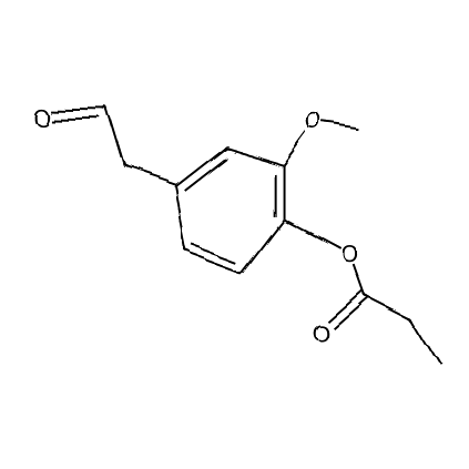 CCC(=O)Oc1ccc(CC=O)cc1OC